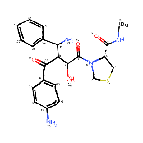 CC(C)(C)NC(=O)[C@@H]1CSCN1C(=O)C(O)C(C(=O)c1ccc(N)cc1)C(N)c1ccccc1